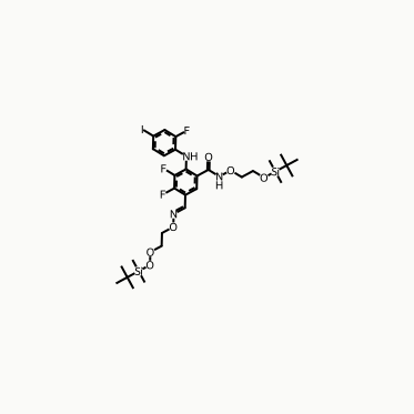 CC(C)(C)[Si](C)(C)OCCONC(=O)c1cc(C=NOCCOO[Si](C)(C)C(C)(C)C)c(F)c(F)c1Nc1ccc(I)cc1F